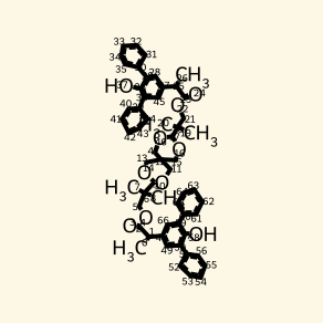 CC(C(=O)OCC(C)(C)C1OCC2(CO1)COC(C(C)(C)COC(=O)C(C)c1cc(-c3ccccc3)c(O)c(-c3ccccc3)c1)OC2)c1cc(-c2ccccc2)c(O)c(-c2ccccc2)c1